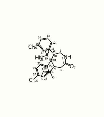 CC=C(C)[C@@H]1CC(=O)NC[C@H](c2cccc(Cl)c2)[C@@]12C(=O)Nc1cc(Cl)ccc12